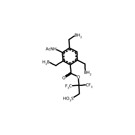 BCc1cc(CB)c(C(=O)OC(CS(=O)(=O)O)(C(F)(F)F)C(F)(F)F)c(CB)c1NC(C)=O